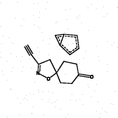 C#CC1=NOC2(CCC(=O)CC2)C1.c1cc2cc-2c1